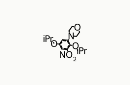 CC(C)Oc1cc(N2CCOCC2)c(OC(C)C)c([N+](=O)[O-])c1